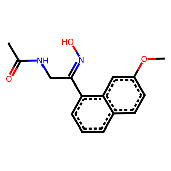 COc1ccc2cccc(C(CNC(C)=O)=NO)c2c1